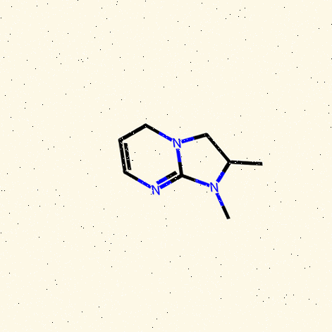 CC1CN2CC=CN=C2N1C